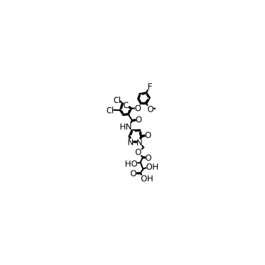 COc1cc(F)ccc1Oc1cc(Cl)c(Cl)cc1C(=O)Nc1cnn(COC(=O)C(O)C(O)C(=O)O)c(=O)c1